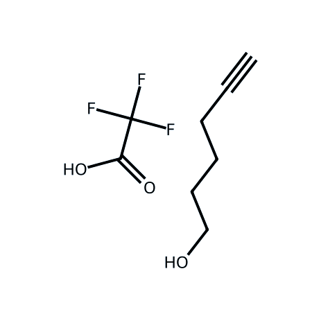 C#CCCCCO.O=C(O)C(F)(F)F